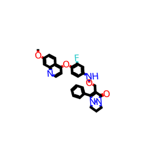 COc1ccc2c(Oc3ccc(NOCc4c(-c5ccccc5)n5n(c4=O)CCC5)cc3F)ccnc2c1